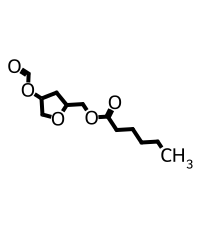 CCCCCC(=O)OCC1CC(OC=O)CO1